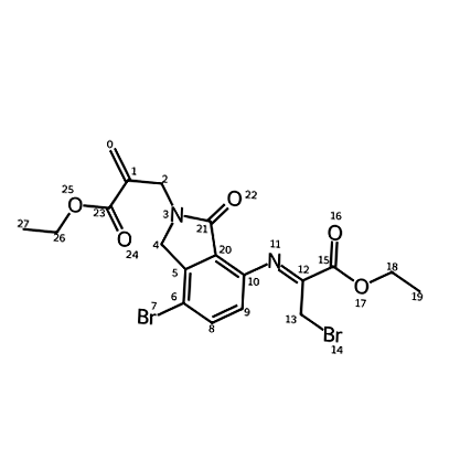 C=C(CN1Cc2c(Br)ccc(/N=C(\CBr)C(=O)OCC)c2C1=O)C(=O)OCC